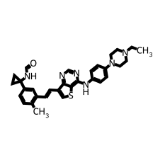 CCN1CCN(c2ccc(Nc3ncnc4c(/C=C/c5cc(C6(NC=O)CC6)ccc5C)csc34)cc2)CC1